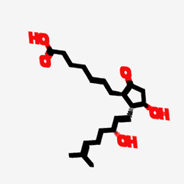 CC(C)=CCC[C@@H](O)C=C[C@H]1[C@H](O)CC(=O)[C@@H]1CC=CCCCC(=O)O